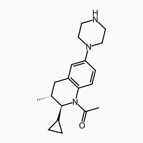 CC(=O)N1c2ccc(N3CCNCC3)cc2C[C@@H](C)[C@@H]1C1CC1